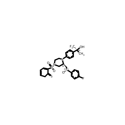 C[C@](O)(c1ccc(N2CCN(S(=O)(=O)C3=CC=CCC3=S)C[C@@H]2C[S@@+]([O-])c2ccc(F)cc2)cc1)C(F)(F)F